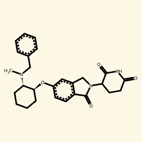 CN(Cc1ccccc1)[C@H]1CCCC[C@@H]1Oc1ccc2c(c1)CN(C1CCC(=O)NC1=O)C2=O